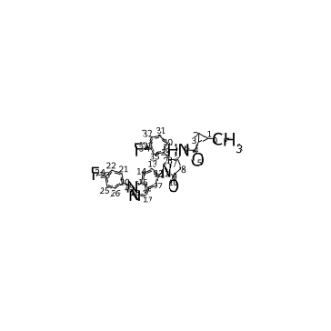 CC1CC1C(=O)NC1CC(=O)N(c2ccc3c(cnn3-c3ccc(F)cc3)c2)C1c1cccc(F)c1